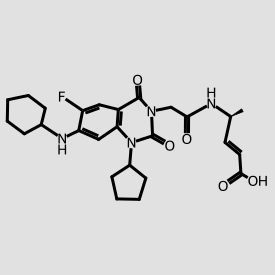 C[C@@H](/C=C/C(=O)O)NC(=O)Cn1c(=O)c2cc(F)c(NC3CCCCC3)cc2n(C2CCCC2)c1=O